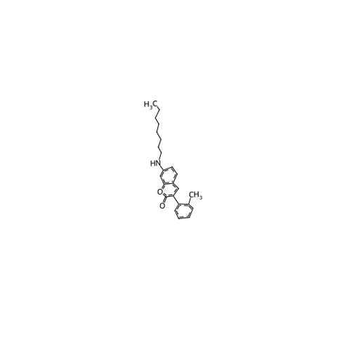 CCCCCCCCNc1ccc2cc(-c3ccccc3C)c(=O)oc2c1